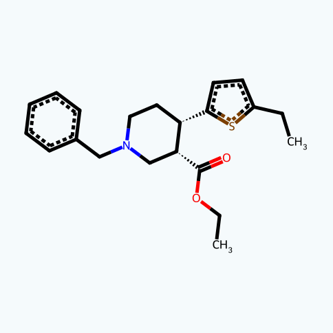 CCOC(=O)[C@@H]1CN(Cc2ccccc2)CC[C@@H]1c1ccc(CC)s1